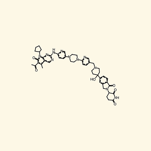 CC(=O)c1c(C)c2cnc(Nc3ccc(N4CCN(c5ccc(CN6CCC(O)(c7ccc8c(c7)CN(C7CCC(=O)NC7=O)C8=O)CC6)cn5)CC4)cn3)nc2n(C2CCCC2)c1=O